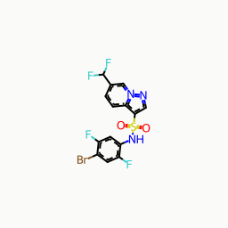 O=S(=O)(Nc1cc(F)c(Br)cc1F)c1cnn2cc(C(F)F)ccc12